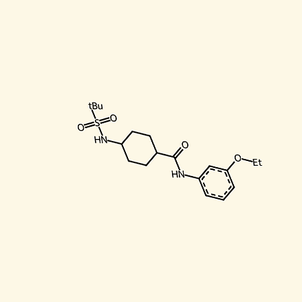 CCOc1cccc(NC(=O)C2CCC(NS(=O)(=O)C(C)(C)C)CC2)c1